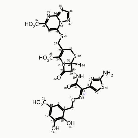 Nc1nc(/C(=N/OCc2cc(C(=O)O)cc(O)c2O)C(=O)N[C@@H]2C(=O)N3C(C(=O)O)=C(CSc4cc(C(=O)O)nc5ncnn45)CS[C@H]23)cs1